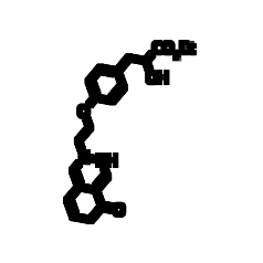 CCOC(=O)C(O)Cc1ccc(OCCN2C=C3C=CCC(=O)C3=CN2)cc1